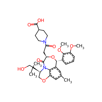 COc1cccc([C@H]2O[C@H](CC(=O)N3CCC(C(=O)O)CC3)C(=O)N3c4c(cc(C)cc42)OC[C@H]3C(C)(C)CO)c1OC